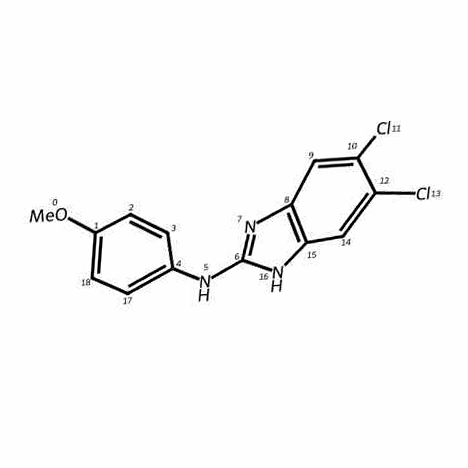 COc1ccc(Nc2nc3cc(Cl)c(Cl)cc3[nH]2)cc1